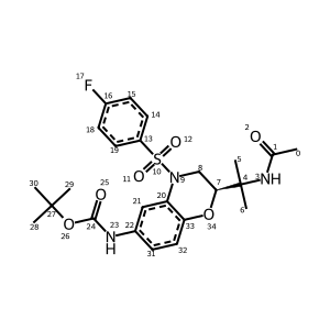 CC(=O)NC(C)(C)[C@@H]1CN(S(=O)(=O)c2ccc(F)cc2)c2cc(NC(=O)OC(C)(C)C)ccc2O1